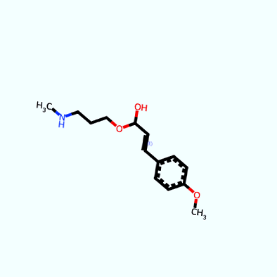 CNCCCOC(O)/C=C/c1ccc(OC)cc1